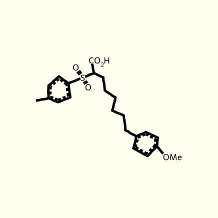 COc1ccc(CCCCCCC(C(=O)O)S(=O)(=O)c2ccc(C)cc2)cc1